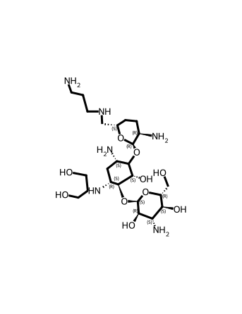 NCCCNC[C@@H]1CC[C@@H](N)[C@@H](OC2[C@@H](N)C[C@@H](NC(CO)CO)[C@H](O[C@H]3O[C@H](CO)[C@@H](O)[C@H](N)[C@H]3O)[C@H]2O)O1